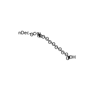 CCCCCCCCCCCCOc1ccc(Cn2cc(COCCOCCOCCOCCOCCOCCOCCOCCP(C)(=O)O)nn2)cc1